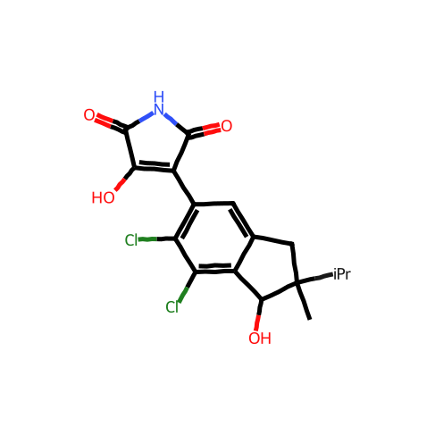 CC(C)C1(C)Cc2cc(C3=C(O)C(=O)NC3=O)c(Cl)c(Cl)c2C1O